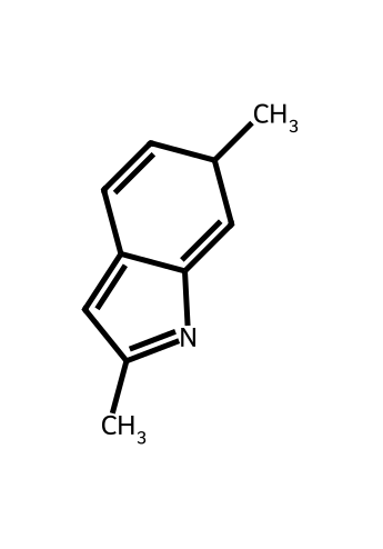 CC1=NC2=CC(C)C=CC2=C1